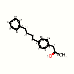 CC(=O)Cc1ccc(CCCCc2ccccc2)cc1